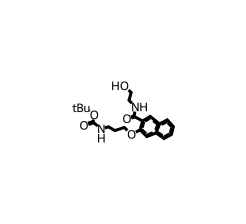 CC(C)(C)OC(=O)NCCCOc1cc2ccccc2cc1C(=O)NCCO